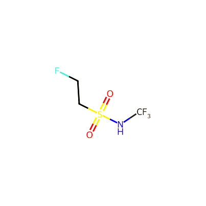 O=S(=O)(CCF)NC(F)(F)F